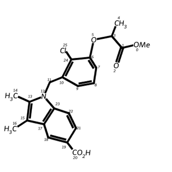 COC(=O)C(C)Oc1cccc(Cn2c(C)c(C)c3cc(C(=O)O)ccc32)c1Cl